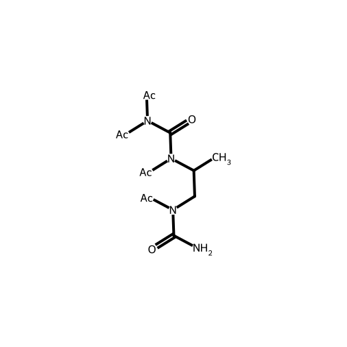 CC(=O)N(CC(C)N(C(C)=O)C(=O)N(C(C)=O)C(C)=O)C(N)=O